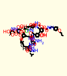 CCCCOc1ccc(CCNC(=O)Oc2cc(O)c3c(c2)[C@@H](C(=O)O)NC(=O)[C@H]2NC(=O)[C@H](NC(=O)[C@@H]4NC(=O)[C@H](CC(N)=O)NC(=O)[C@H](NC(=O)[C@@H](CC(C)C)NC)[C@H](O)c5ccc(c(C)c5)Oc5cc4cc(c5O[C@@H]4O[C@H](CO)[C@@H](O)[C@H](O)[C@H]4O[C@H]4C[C@](C)(N)[C@H](O)[C@H](C)O4)Oc4ccc(cc4Cl)[C@H]2O)c2ccc(O)c-3c2)cc1